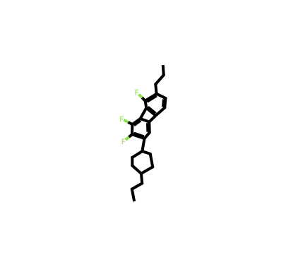 CCCc1ccc2c(c1F)-c1c-2cc(C2CCC(CCC)CC2)c(F)c1F